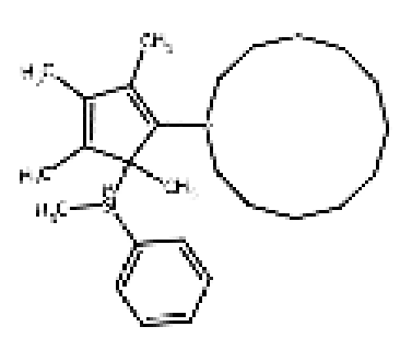 CC1=C(C)C(C)([SiH](C)c2ccccc2)C([C]2CCCCCCCCCCC2)=C1C